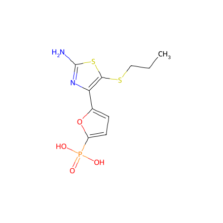 CCCSc1sc(N)nc1-c1ccc(P(=O)(O)O)o1